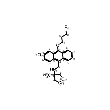 CC(CO)(CO)NCc1c2ccccc2c(OCCCO)c2ccccc12.Cl